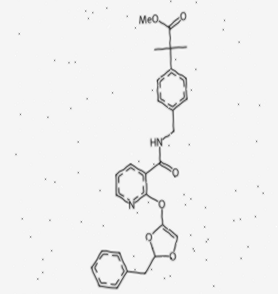 COC(=O)C(C)(C)c1ccc(CNC(=O)c2cccnc2OC2=COC(Cc3ccccc3)O2)cc1